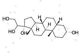 C[C@]12CC[C@@H](O)C[C@H]1CC[C@@H]1[C@@H]2CC[C@@]2(C)[C@H]1CC[C@]2(O)C(O)CO